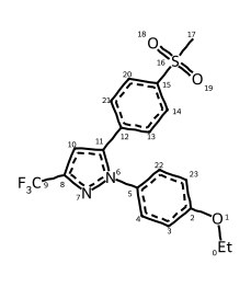 CCOc1ccc(-n2nc(C(F)(F)F)cc2-c2ccc(S(C)(=O)=O)cc2)cc1